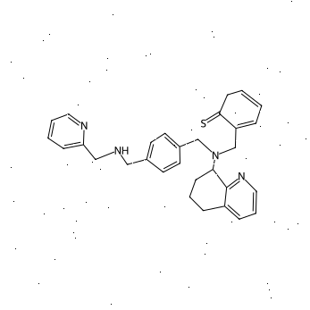 S=C1CC=CC=C1CN(Cc1ccc(CNCc2ccccn2)cc1)C1CCCc2cccnc21